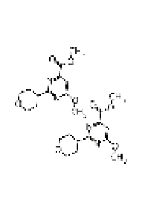 COC(=O)c1cc(OC)nc(C2CCOCC2)n1.COC(=O)c1cc(OC)nc(C2CCOCC2)n1